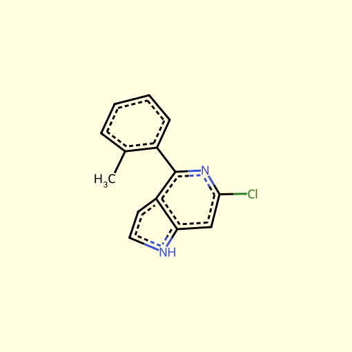 Cc1ccccc1-c1nc(Cl)cc2[nH]ccc12